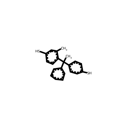 Cc1cc(S)ccc1C(C)(c1ccccc1)c1ccc(S)cc1